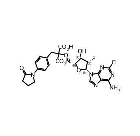 Nc1nc(Cl)nc2c1ncn2[C@@H]1O[C@H](COC(Cc2ccc(N3CCCC3=O)cc2)(C(=O)O)C(=O)O)[C@@H](O)[C@@H]1F